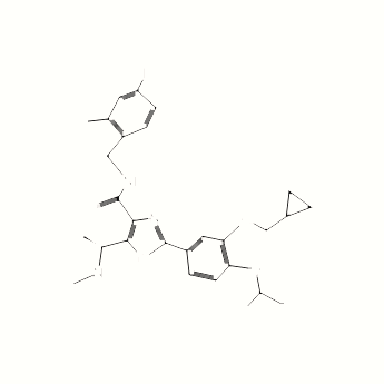 CN[C@@H](C)c1oc(-c2ccc(OC(F)F)c(OCC3CC3)c2)nc1C(=O)NCc1ccc(F)cc1F